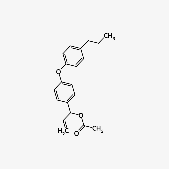 C=CC(OC(C)=O)c1ccc(Oc2ccc(CCC)cc2)cc1